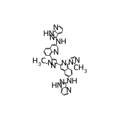 CCn1nc(-c2cc3cc(Nc4n[nH]c5cccnc45)ccc3c(-n3ccnc3C)n2)cc1-c1cccc2cc(Nc3n[nH]c4ncccc34)cnc12